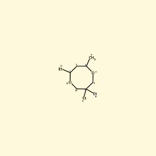 CCC1CC(C)OCC(CC)(CC)CO1